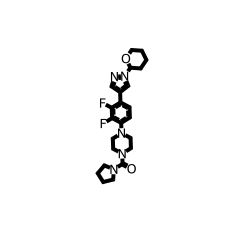 O=C(N1CCCC1)N1CCN(c2ccc(-c3cnn(C4CCCCO4)c3)c(F)c2F)CC1